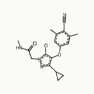 CNC(=O)Cn1nc(C2CC2)c(Oc2cc(C)c(C#N)c(C)c2)c1Cl